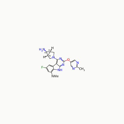 CNc1cc(F)cc2c1[nH]c1nc(Oc3cnc(C)nc3)nc(N3C[C@@H]4[C@@H](N)[C@@H]4C3)c12